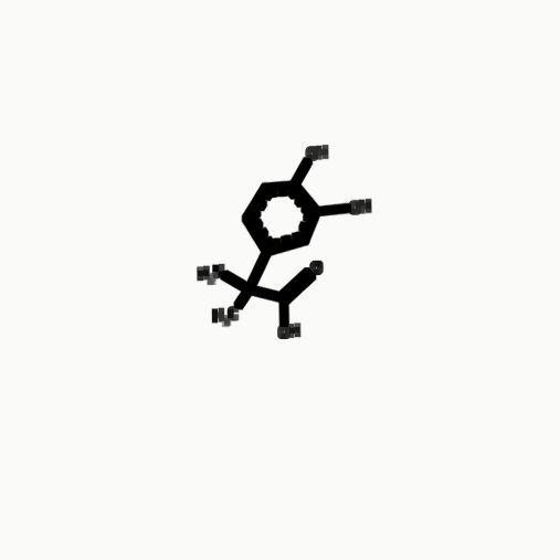 CC(N)(C(=O)O)c1ccc(O)c(O)c1